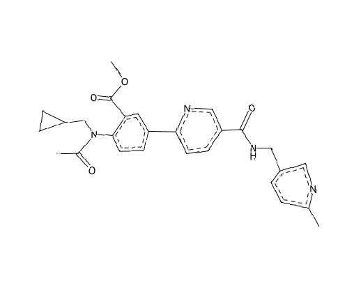 COC(=O)c1cc(-c2ccc(C(=O)NCc3ccc(C)nc3)cn2)ccc1N(CC1CC1)C(C)=O